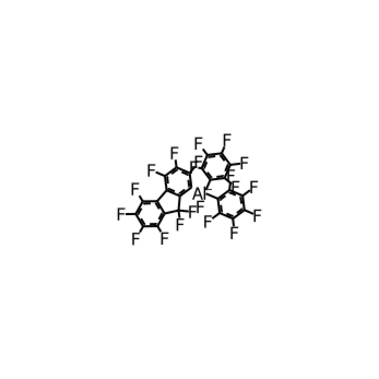 Fc1c(F)c(F)[c]([Al-]([F])([c]2c(F)c(F)c(F)c(F)c2F)[c]2c(F)c(F)c(F)c3c2C(F)(F)c2c(F)c(F)c(F)c(F)c2-3)c(F)c1F